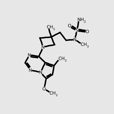 COc1cc(C)c2c(N3CC(C)(CCN(C)S(N)(=O)=O)C3)ncnn12